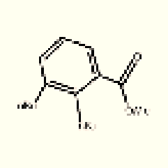 CCCCc1cccc(C(=O)OC)c1CCCC